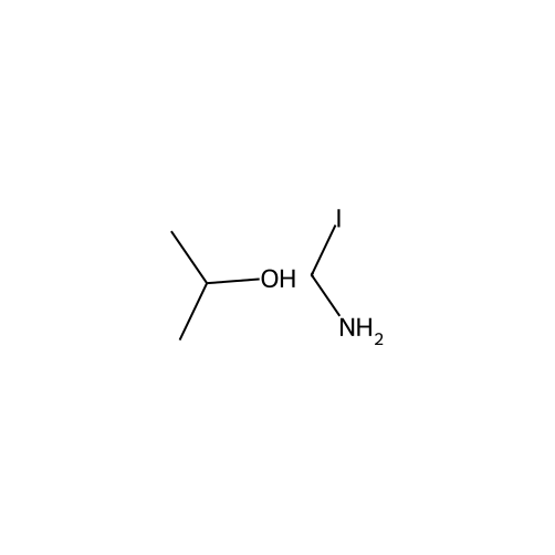 CC(C)O.NCI